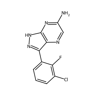 Nc1cnc2c(-c3cccc(Cl)c3F)n[nH]c2n1